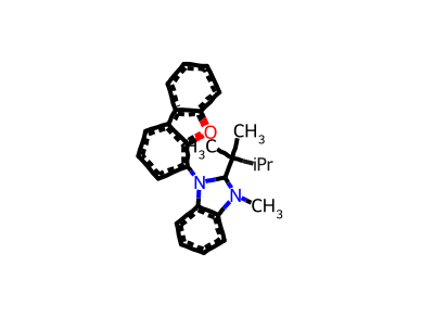 CC(C)C(C)(C)C1N(C)c2ccccc2N1c1cccc2c1oc1ccccc12